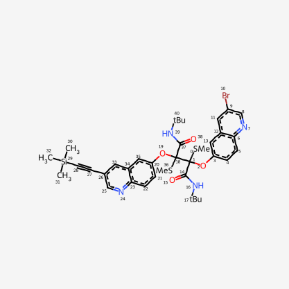 CSC(Oc1ccc2ncc(Br)cc2c1)(C(=O)NC(C)(C)C)C(Oc1ccc2ncc(C#C[Si](C)(C)C)cc2c1)(SC)C(=O)NC(C)(C)C